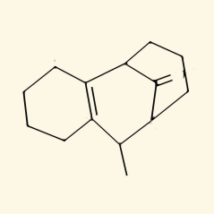 CC1C2=C(CCCC2)C2CCCC1C2=O